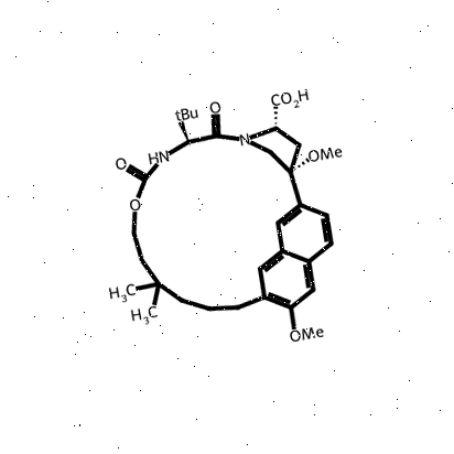 COc1cc2ccc3cc2cc1CCCC(C)(C)CCOC(=O)N[C@@H](C(C)(C)C)C(=O)N1C[C@@]3(OC)C[C@H]1C(=O)O